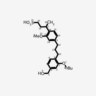 CCCCOc1cc(CO)ccc1CCCc1ccc(C(C)CCS(=O)(=O)O)c(OC)c1